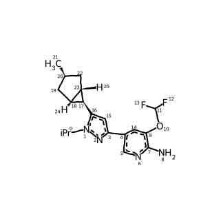 CC(C)n1nc(-c2cnc(N)c(OC(F)F)c2)cc1[C@H]1[C@@H]2C[C@@H](C)C[C@@H]21